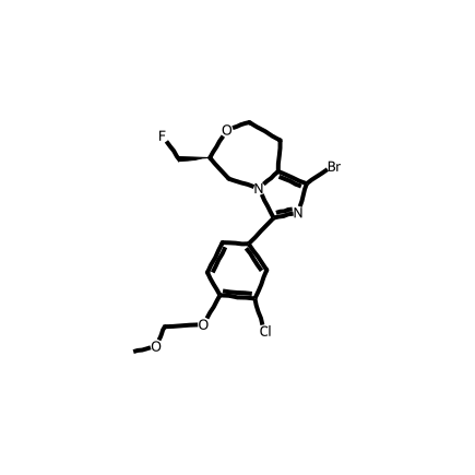 COCOc1ccc(-c2nc(Br)c3n2C[C@@H](CF)OCC3)cc1Cl